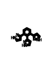 c1cc(-c2cc[nH]n2)c(-c2cc[nH]n2)c(-c2cc[nH]n2)c1